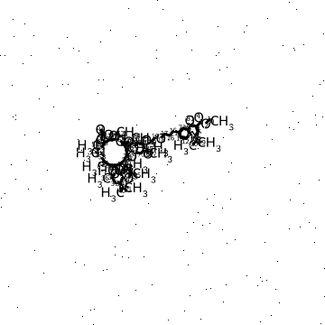 CCOC(=O)c1cn(N(C)C)c2ccc(CCCOCCO[C@H]3[C@H](C)O[C@@H](O[C@H]4[C@H](C)[C@@H](O[C@@H]5O[C@H](C)C[C@H](N(C)C)[C@H]5OC(C)=O)[C@](C)(O)C[C@@H](C)CN(C)[C@H](C)[C@H]5OC(=O)O[C@]5(C)[C@@H](CC)OC(=O)[C@@H]4C)C[C@@]3(C)OC)cc2c1=O